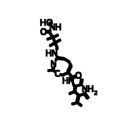 C=C/C(NC(=O)/C1=C/CC=C(NCC(C)(C)C(C)(C)C(=O)NO)/N=C(/C)CC1)=C(/C)C(C(=C)N)=C(C)C